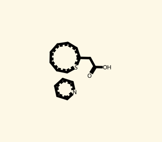 O=C(O)Cc1cccccccs1.c1ccncc1